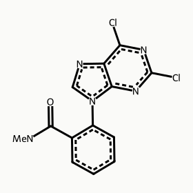 CNC(=O)c1ccccc1-n1cnc2c(Cl)nc(Cl)nc21